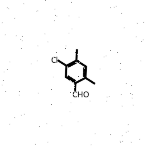 Cc1cc(C)c(C=O)cc1Cl